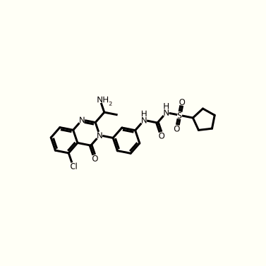 CC(N)c1nc2cccc(Cl)c2c(=O)n1-c1cccc(NC(=O)NS(=O)(=O)C2CCCC2)c1